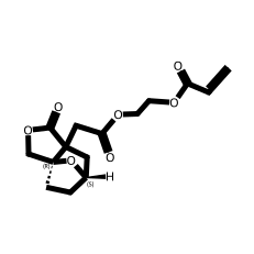 C=CC(=O)OCCOC(=O)CC12C[C@@H]3CC[C@@]1(COC2=O)O3